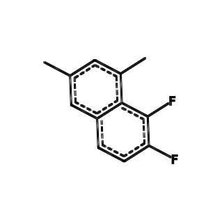 Cc1cc(C)c2c(F)c(F)ccc2c1